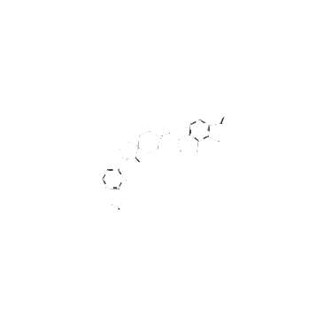 [2H]C([2H])([2H])Oc1nccc(N2CCC3(CCN(C[C@H](O)c4ccc5c(c4C)COC5=O)CC3)C2=O)n1